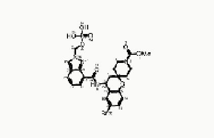 COC(=O)N1CCC2(CC1)C[C@H](NC(=O)c1cccc3cn(COP(=O)(O)O)nc13)c1cc(Br)ccc1O2